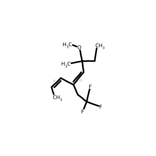 C/C=C\C(=C/C(C)(CC)OC)CC(F)(F)F